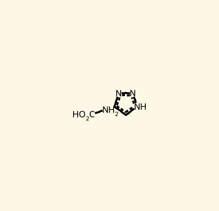 NC(=O)O.c1c[nH]nn1